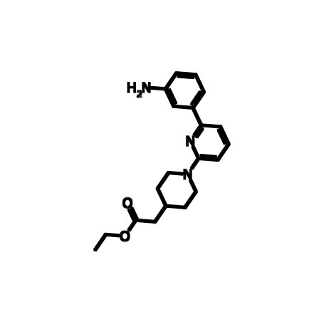 CCOC(=O)CC1CCN(c2cccc(-c3cccc(N)c3)n2)CC1